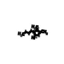 CCCCN1CCN(C)C1C.I